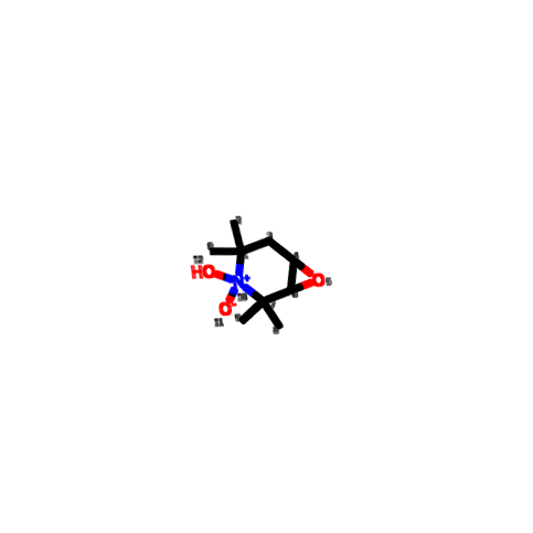 CC1(C)CC2OC2C(C)(C)[N+]1([O-])O